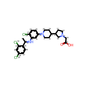 CC(Nc1cc(N2CCC(C3CCN(CC(=O)O)C3)CC2)ccc1Cl)c1ccc(Cl)cc1Cl